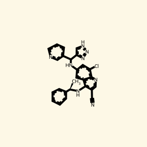 C[C@@H](Nc1c(C#N)cnc2c(Cl)cc(NC(c3cccnc3)c3c[nH]nn3)cc12)c1ccccc1